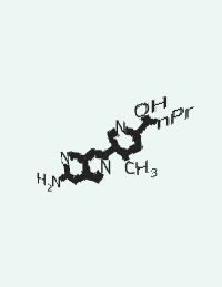 CCCC(O)c1cc(C)c(-c2cc3cnc(N)cc3cn2)cn1